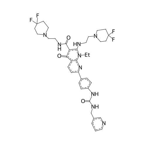 CCn1c(NCCN2CCC(F)(F)CC2)c(C(=O)NCCN2CCC(F)(F)CC2)c(=O)c2ccc(-c3ccc(NC(=O)NCc4cccnc4)cc3)nc21